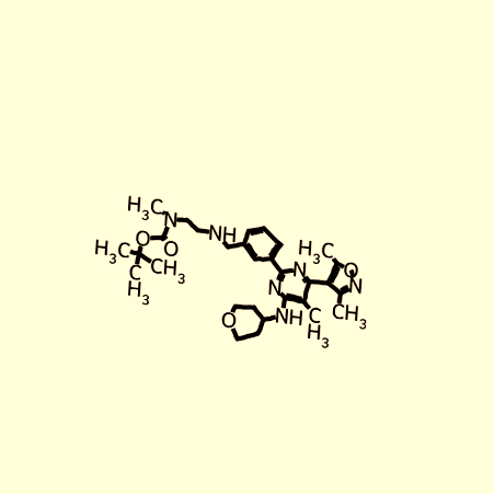 Cc1noc(C)c1-c1nc(-c2cccc(CNCCN(C)C(=O)OC(C)(C)C)c2)nc(NC2CCOCC2)c1C